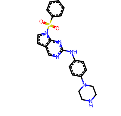 O=S(=O)(c1ccccc1)n1ccc2cnc(Nc3ccc(N4CCNCC4)cc3)nc21